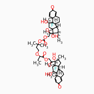 CCC(OCCC(C)(C)OC(=O)OCC(=O)[C@@]1(O)[C@H](C)C[C@H]2[C@@H]3CCC4=CC(=O)C=C[C@]4(C)[C@@]3(F)[C@@H](O)C[C@@]21C)C(=O)OCC(=O)[C@@]1(O)[C@H](C)C[C@H]2[C@@H]3CCC4=CC(=O)C=C[C@]4(C)[C@@]3(F)[C@@H](O)C[C@@]21C